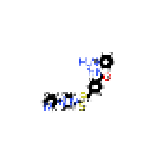 Nc1ccccc1NC(=O)c1ccc(CSC(=S)N2CCN(c3cccnc3)CC2)cc1